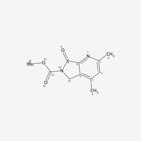 Cc1cc(C)c2c(n1)C(=O)N(C(=O)OC(C)(C)C)C2